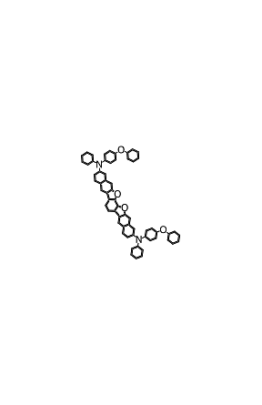 c1ccc(Oc2ccc(N(c3ccccc3)c3ccc4cc5c(cc4c3)oc3c5ccc4c5cc6ccc(N(c7ccccc7)c7ccc(Oc8ccccc8)cc7)cc6cc5oc43)cc2)cc1